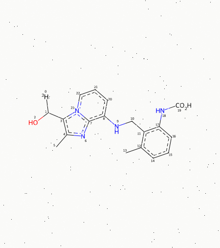 [2H]C(O)c1c(C)nc2c(NCc3c(C)cccc3NC(=O)O)cccn12